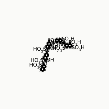 Nc1c(N=Nc2ccc3c(O)c(N=Nc4ccc5ccccc5c4S(=O)(=O)O)c(S(=O)(=O)O)cc3c2)c(S(=O)(=O)O)cc2cc(S(=O)(=O)O)c(N=Nc3ccc4cc(S(=O)(=O)O)c(N=Nc5cc6c(S(=O)(=O)O)cc(S(=O)(=O)O)cc6cc5S(=O)(=O)O)c(O)c4c3)c(O)c12